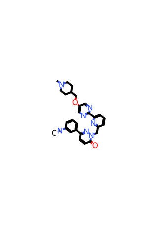 [C-]#[N+]c1cccc(-c2ccc(=O)n(Cc3cccc(-c4ncc(OCC5CCN(C)CC5)cn4)n3)n2)c1